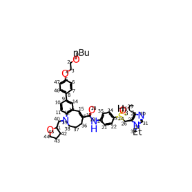 CCCCOCCOc1ccc(-c2ccc3c(c2)/C=C(/C(=O)Nc2ccc([S+]([O-])Cc4c(C)ncn4CC)cc2)CCCN3CC2CCCO2)cc1